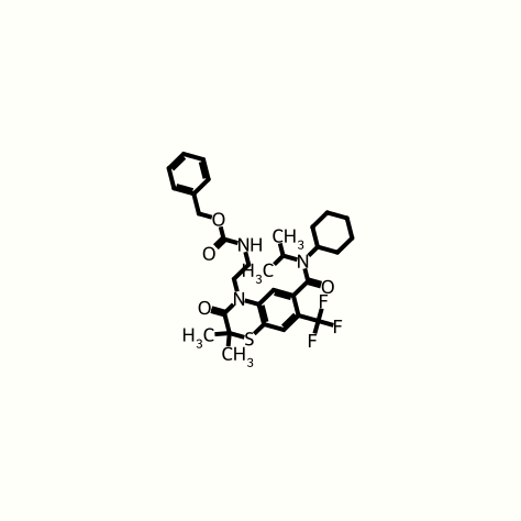 CC(C)N(C(=O)c1cc2c(cc1C(F)(F)F)SC(C)(C)C(=O)N2CCNC(=O)OCc1ccccc1)C1CCCCC1